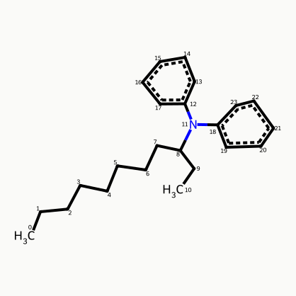 CCCCCCCCC(CC)N(c1ccccc1)c1ccccc1